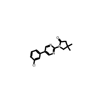 CC1(C)CC(=O)N(c2ncc(-c3cccc(Cl)c3)cn2)C1